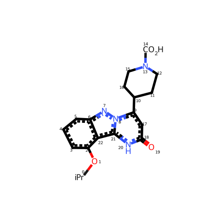 CC(C)Oc1cccc2nn3c(C4CCN(C(=O)O)CC4)cc(=O)[nH]c3c12